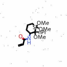 C=CC(=O)NC1CCC[Si](OC)(OC)C1(CCC)OC